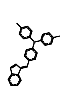 Cc1ccc(N(c2ccc(C)cc2)c2ccc(C=C3C=Cc4ccccc43)cc2)cc1